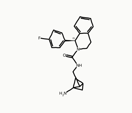 NC12CC(C1)C2CNC(=O)N1CCc2ccccc2[C@@H]1c1ccc(F)cc1